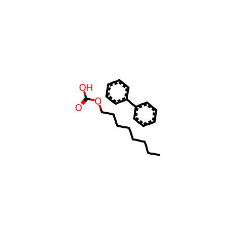 CCCCCCCCOC(=O)O.c1ccc(-c2ccccc2)cc1